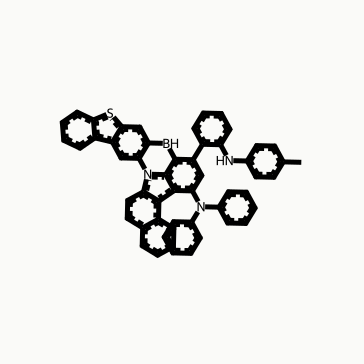 Cc1ccc(Nc2ccccc2-c2cc(N(c3ccccc3)c3ccccc3)c3c4c5ccccc5ccc4n4c3c2Bc2cc3sc5ccccc5c3cc2-4)cc1